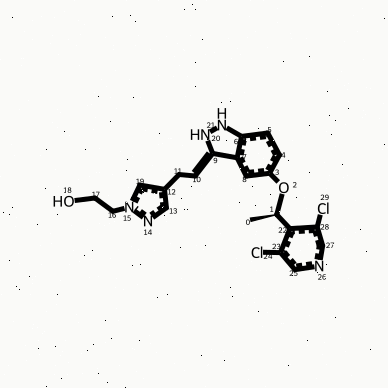 C[C@@H](Oc1ccc2c(c1)/C(=C/Cc1cnn(CCO)c1)NN2)c1c(Cl)cncc1Cl